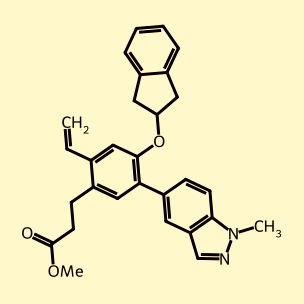 C=Cc1cc(OC2Cc3ccccc3C2)c(-c2ccc3c(cnn3C)c2)cc1CCC(=O)OC